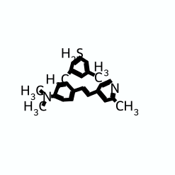 Cc1cc(C=Cc2ccc(N(C)C)cc2)ccn1.Cc1cccc(C)c1.S